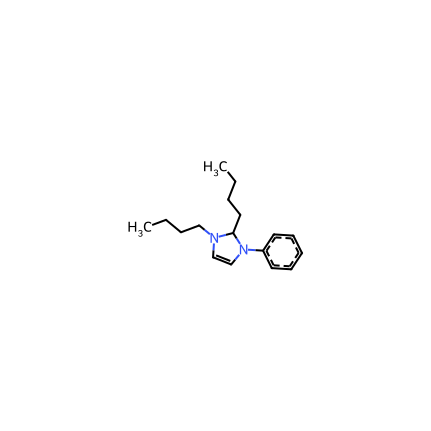 CCCCC1N(CCCC)C=CN1c1ccccc1